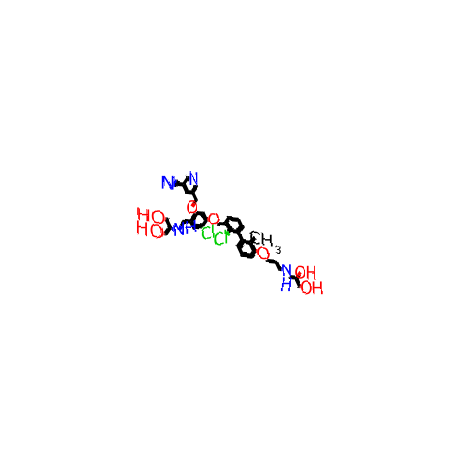 Cc1c(OCCCNCC(O)CO)cccc1-c1cccc(COc2cc(OCc3cncc(C#N)c3)c(CNC(CO)CO)cc2Cl)c1Cl